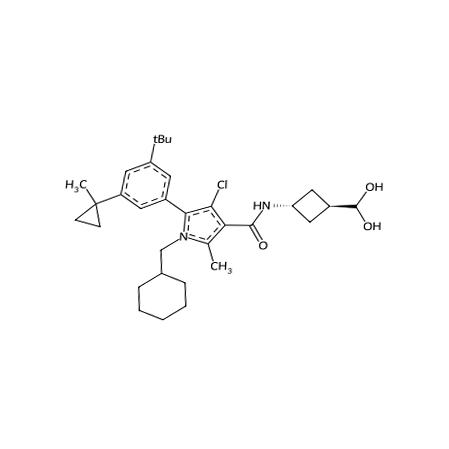 Cc1c(C(=O)N[C@H]2C[C@H](C(O)O)C2)c(Cl)c(-c2cc(C(C)(C)C)cc(C3(C)CC3)c2)n1CC1CCCCC1